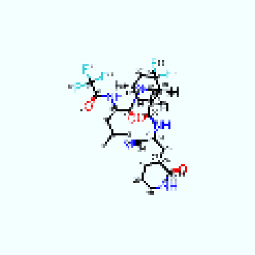 CC(C)C[C@@H](NC(=O)C(F)(F)F)C(=O)N1[C@@H]2CC[C@H]([C@H]1C(=O)N[C@H](C#N)C[C@@H]1CCCNC1=O)C(F)(F)C2